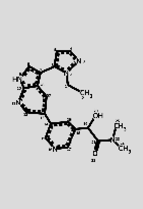 CCn1nccc1-c1c[nH]c2ncc(-c3cncc(C(O)C(=O)N(C)C)c3)cc12